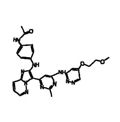 COCCOc1cnnc(Nc2cc(-c3c(Nc4ccc(NC(C)=O)cc4)nc4cccnn34)nc(C)n2)c1